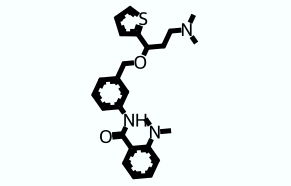 CN(C)CCC(OCc1cccc(NC(=O)c2ccccc2N(C)C)c1)c1cccs1